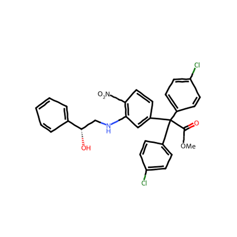 COC(=O)C(c1ccc(Cl)cc1)(c1ccc(Cl)cc1)c1ccc([N+](=O)[O-])c(NC[C@H](O)c2ccccc2)c1